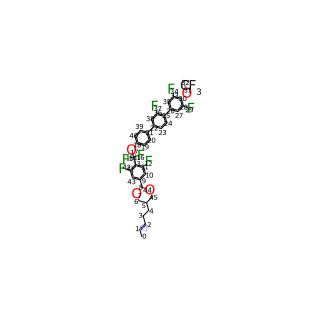 C/C=C/CCC1COC(c2cc(F)c(C(F)(F)Oc3ccc(-c4ccc(-c5cc(F)c(OC(F)(F)F)c(F)c5)c(F)c4)cc3)c(F)c2)OC1